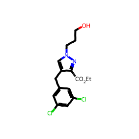 CCOC(=O)c1nn(CCCO)cc1Cc1cc(Cl)cc(Cl)c1